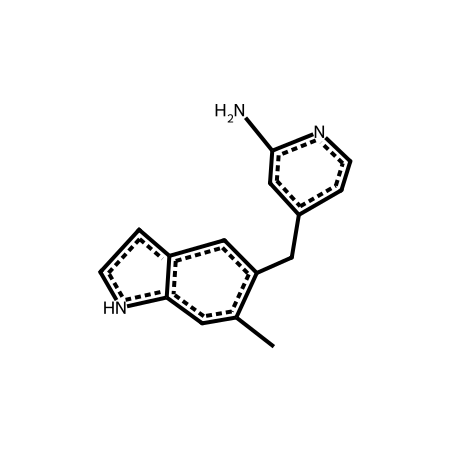 Cc1cc2[nH]ccc2cc1Cc1ccnc(N)c1